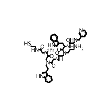 CCCN(CC(=O)NCCS)C(=O)CN(CCc1c[nH]c2ccccc12)C(=O)CNC(=O)CN(CCCN)C(=O)C(Cc1c[nH]c2ccccc12)NC(=O)CNCc1cccnc1